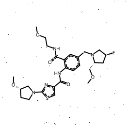 COCCNC(=O)c1cc(CN2C[C@@H](F)C[C@@H]2COC)ccc1NC(=O)c1csc(N2CC[C@H](OC)C2)n1